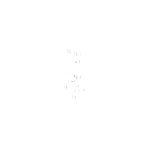 CC(Cc1ncc[nH]1)c1cccc(NC(=O)OC(C)(C)C)c1